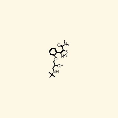 CN(C)C(=O)c1snnc1-c1ccccc1OCC(O)CNC(C)(C)C